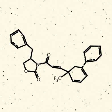 O=C(/C=C/C1(C(F)(F)F)C=CC=C(c2ccccc2)C1)N1C(=O)OCC1Cc1ccccc1